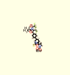 CSC(=S)OC1(c2ccc(-c3ccc(C4OC(C)(C)N(C(=O)C(F)F)C4CF)cc3)cn2)CCN1C(=O)OC(C)(C)C